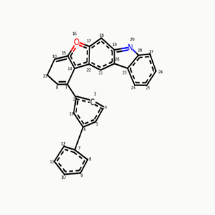 C1=C(c2cccc(-c3ccccc3)c2)c2c(oc3cc4c(cc23)-c2ccccc2N=4)=CC1